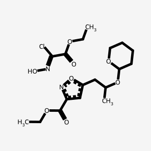 CCOC(=O)/C(Cl)=N/O.CCOC(=O)c1cc(CC(C)OC2CCCCO2)on1